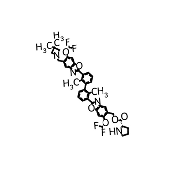 Cc1c(-c2nc3cc(COC(=O)[C@@H]4CCCN4)c(OC(F)F)cc3o2)cccc1-c1cccc(-c2nc3cc(CN4CC(C)(C)C4)c(OC(F)F)cc3o2)c1C